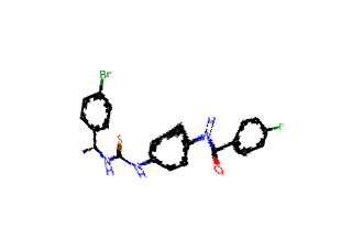 C[C@H](NC(=S)Nc1ccc(NC(=O)c2ccc(F)cc2)cc1)c1ccc(Br)cc1